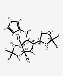 CC1(C)O[C@H]2O[C@H]([C@H]3COC(C)(C)O3)[C@H](Oc3ccsc3)[C@H]2O1